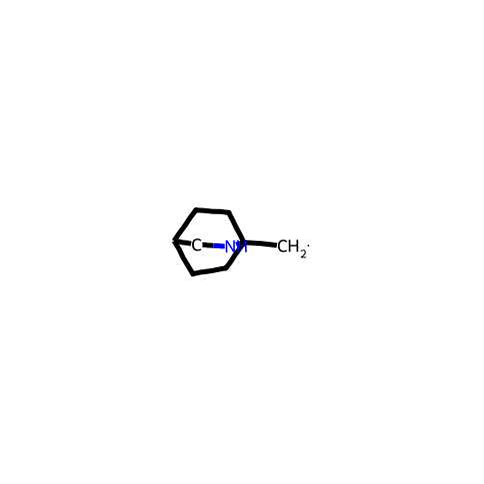 [CH2]C12CCC(CC1)CN2